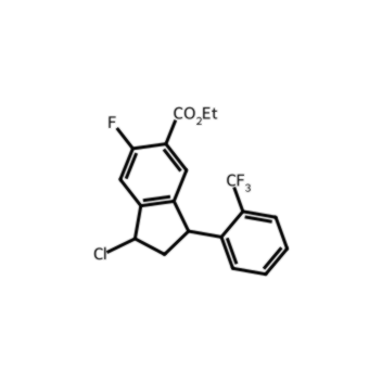 CCOC(=O)c1cc2c(cc1F)C(Cl)CC2c1ccccc1C(F)(F)F